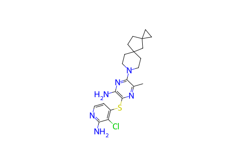 Cc1nc(Sc2ccnc(N)c2Cl)c(N)nc1N1CCC2(CC1)CCC1(CC1)C2